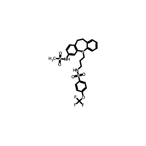 CS(=O)(=O)Nc1ccc2c(c1)N(CCCNS(=O)(=O)c1ccc(OC(F)(F)F)cc1)c1ccccc1CC2